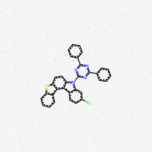 Clc1ccc2c3c4c(ccc3n(-c3nc(-c5ccccc5)nc(-c5ccccc5)n3)c2c1)sc1ccccc14